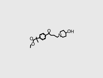 CCOC(=O)C(C)(C)c1ccc(C(=O)CCCN2CCC(O)CC2)cc1